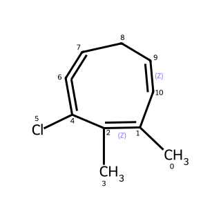 CC1=C(\C)C(Cl)=C=CC/C=C\1